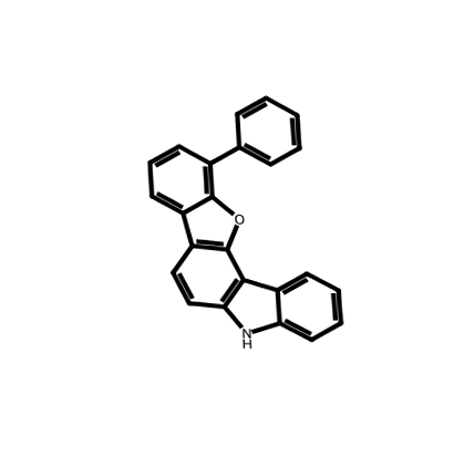 c1ccc(-c2cccc3c2oc2c3ccc3[nH]c4ccccc4c32)cc1